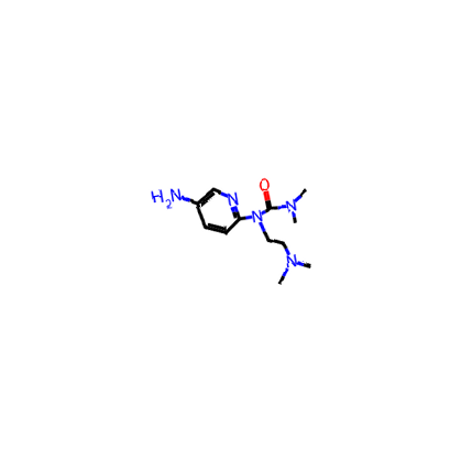 CN(C)CCN(C(=O)N(C)C)c1ccc(N)cn1